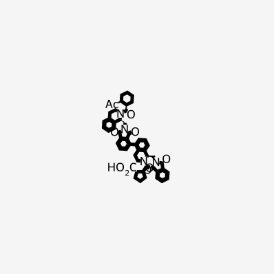 CC(=O)[C@H]1CCCC[C@H]1C(=O)N1CCc2ccccc2[C@H]1CN1C(=O)c2cccc(-c3cccc4c3CCN(C(=O)C3CCCC3C(=O)O)[C@@H]4CN3C(=O)c4ccccc4C3=O)c2C1=O